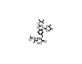 CC(=O)OC(C)CN[C@@H](Cc1ccc(OC(=O)OC(C)C(C)C)c(OC(=O)OC(C)C(C)C)c1)C(=O)O